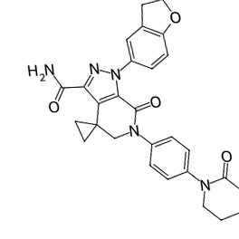 NC(=O)c1nn(-c2ccc3c(c2)CCO3)c2c1C1(CC1)CN(c1ccc(N3CCCCC3=O)cc1)C2=O